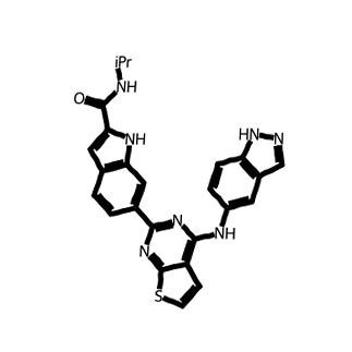 CC(C)NC(=O)c1cc2ccc(-c3nc(Nc4ccc5[nH]ncc5c4)c4ccsc4n3)cc2[nH]1